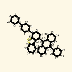 c1ccc(-c2ccc(-c3ccc(-c4c5ccccc5c(-c5ccccc5)c5ccccc45)c4c3sc3ccccc34)cc2)cc1